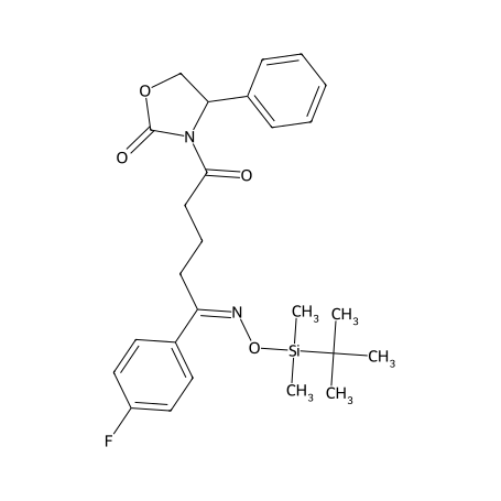 CC(C)(C)[Si](C)(C)ON=C(CCCC(=O)N1C(=O)OCC1c1ccccc1)c1ccc(F)cc1